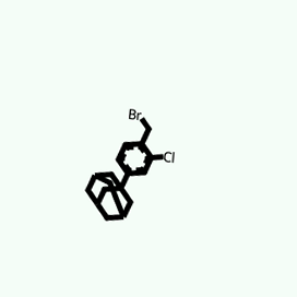 Clc1cc(C23CC4CC(CC(C4)C2)C3)ccc1CBr